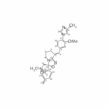 COc1cc(/C=C2\CCCN3C2=NO[C@]3(CN(C)C)c2ccc(F)cc2)ccc1-n1cnc(C)c1